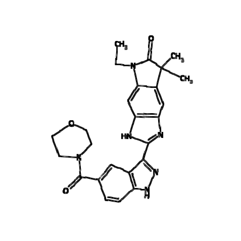 CCN1C(=O)C(C)(C)c2cc3nc(-c4n[nH]c5ccc(C(=O)N6CCOCC6)cc45)[nH]c3cc21